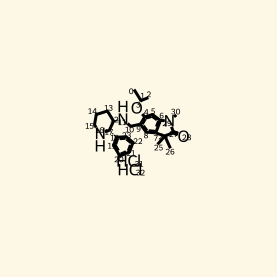 CC(C)Oc1cc2c(cc1CN[C@H]1CCCN[C@H]1c1ccccc1)C(C)(C)C(=O)N2C.Cl.Cl